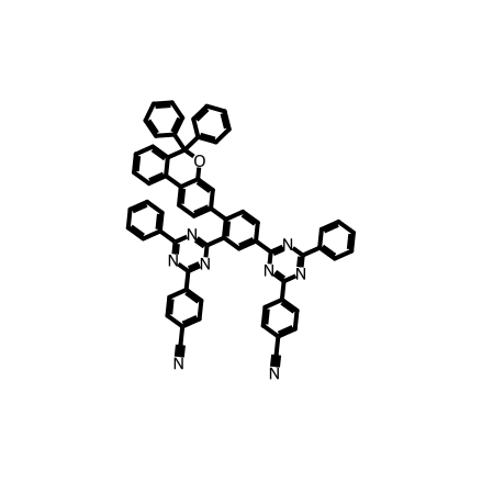 N#Cc1ccc(-c2nc(-c3ccccc3)nc(-c3ccc(-c4ccc5c(c4)OC(c4ccccc4)(c4ccccc4)c4ccccc4-5)c(-c4nc(-c5ccccc5)nc(-c5ccc(C#N)cc5)n4)c3)n2)cc1